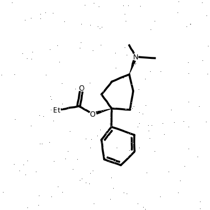 CCC(=O)O[C@]1(c2ccccc2)CC[C@H](N(C)C)CC1